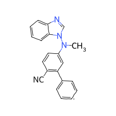 CN(c1ccc(C#N)c(-c2cc[c]cc2)c1)n1cnc2ccccc21